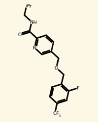 CC(C)CNC(=O)c1ccc(COCc2ccc(C(F)(F)F)cc2F)cn1